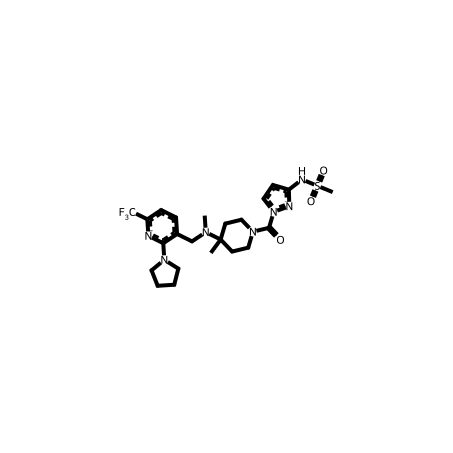 CN(Cc1ccc(C(F)(F)F)nc1N1CCCC1)C1(C)CCN(C(=O)n2ccc(NS(C)(=O)=O)n2)CC1